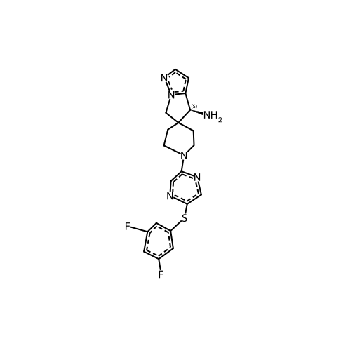 N[C@@H]1c2ccnn2CC12CCN(c1cnc(Sc3cc(F)cc(F)c3)cn1)CC2